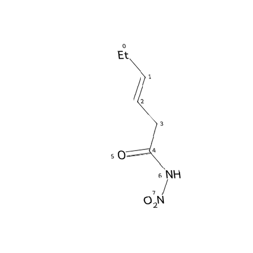 CCC=CCC(=O)N[N+](=O)[O-]